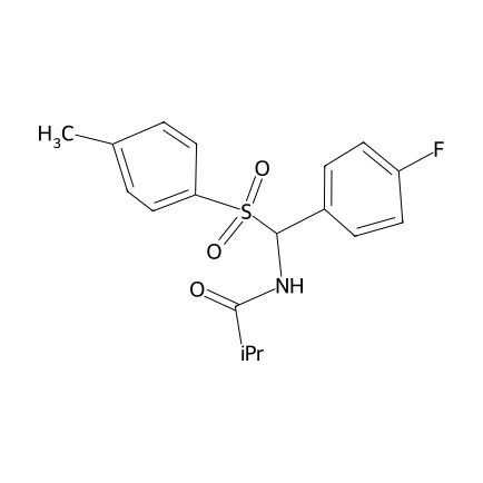 Cc1ccc(S(=O)(=O)C(NC(=O)C(C)C)c2ccc(F)cc2)cc1